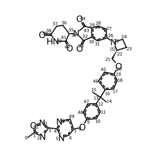 Cc1nc(-c2ncc(Oc3ccc(C(C)(C)c4ccc(OC[C@@H]5CCN5c5ccc6c(c5)C(=O)N(C5CCC(=O)NC5=O)C6=O)cc4)cc3)cn2)no1